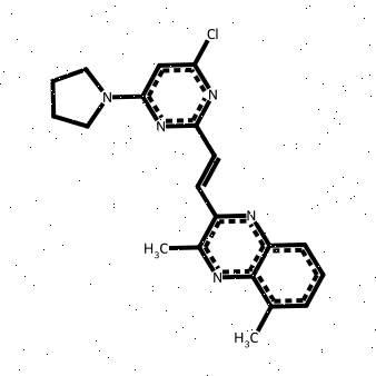 Cc1nc2c(C)cccc2nc1/C=C/c1nc(Cl)cc(N2CCCC2)n1